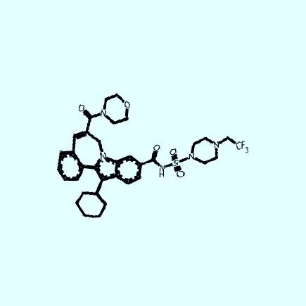 O=C(NS(=O)(=O)N1CCN(CC(F)(F)F)CC1)c1ccc2c(C3CCCCC3)c3n(c2c1)CC(C(=O)N1CCOCC1)=Cc1ccccc1-3